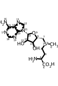 C[S@@+](CC[C@H](N)C(=O)O)C[C@H]1O[C@@H](n2cnc3c(N)ncnc32)C(O)C1O